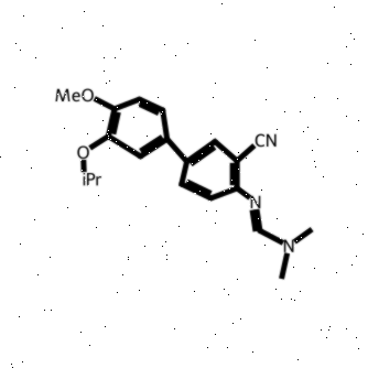 COc1ccc(-c2ccc(N=CN(C)C)c(C#N)c2)cc1OC(C)C